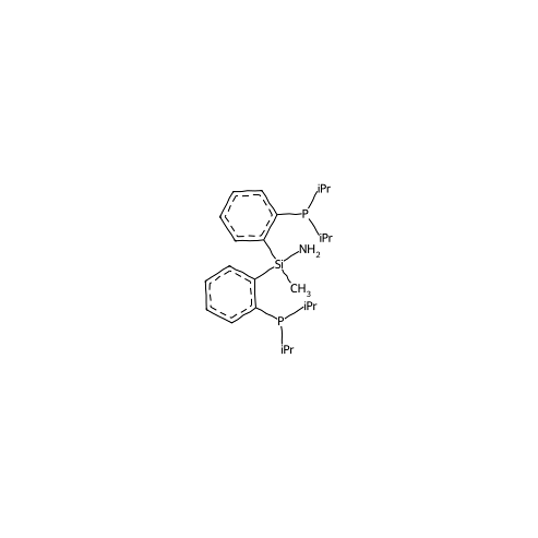 CC(C)P(c1ccccc1[Si](C)(N)c1ccccc1P(C(C)C)C(C)C)C(C)C